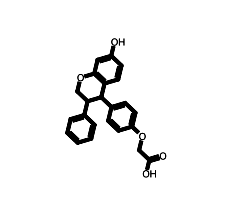 O=C(O)COc1ccc(C2c3ccc(O)cc3OCC2c2ccccc2)cc1